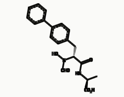 C[C@H](NC(=O)[C@@H](Cc1ccc(-c2ccccc2)cc1)N(O)C=O)C(=O)O